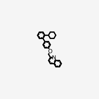 c1ccc(C2CCCCC2)c(-c2ccc(OCc3ccc4ccccc4n3)cc2)c1